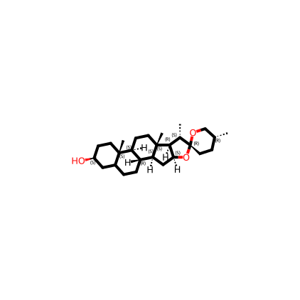 C[C@@H]1CC[C@@]2(OC1)O[C@H]1C[C@H]3[C@@H]4CCC5C[C@@H](O)CC[C@]5(C)[C@H]4CC[C@]3(C)[C@H]1[C@@H]2C